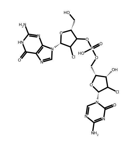 Nc1ncn([C@@H]2O[C@H](COP(=O)(O)OC3C(Cl)[C@H](n4cnc5c(=O)[nH]c(N)nc54)O[C@@H]3CO)[C@H](O)C2Cl)c(=O)n1